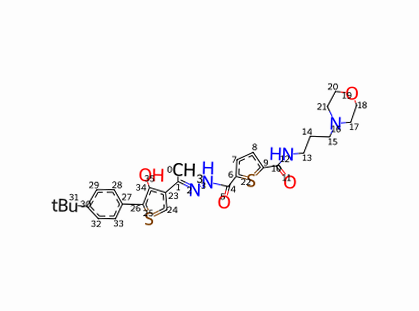 C/C(=N\NC(=O)c1ccc(C(=O)NCCCN2CCOCC2)s1)c1csc(-c2ccc(C(C)(C)C)cc2)c1O